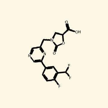 O=C(O)C1CN(Cc2cncc(-c3ccc(F)c(C(F)F)c3)n2)C(=O)O1